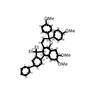 CCC1(CC)c2cc(-c3ccccc3)ccc2-c2c1c1c(c3cc(OC)c(OC)cc23)OC(c2ccc(OC)cc2)(c2ccc(OC)cc2)C=C1